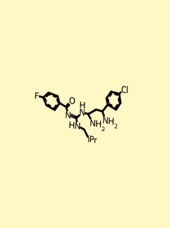 CC(C)CN/C(=N/C(=O)c1ccc(F)cc1)NC(N)CC(N)c1ccc(Cl)cc1